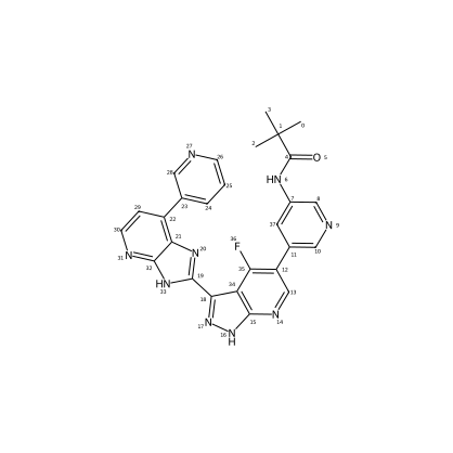 CC(C)(C)C(=O)Nc1cncc(-c2cnc3[nH]nc(-c4nc5c(-c6cccnc6)ccnc5[nH]4)c3c2F)c1